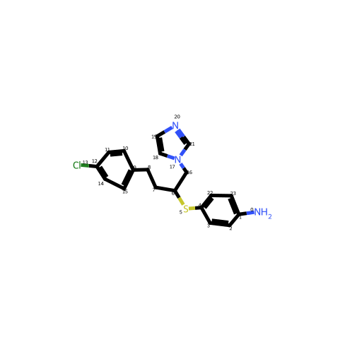 Nc1ccc(SC(CCc2ccc(Cl)cc2)Cn2ccnc2)cc1